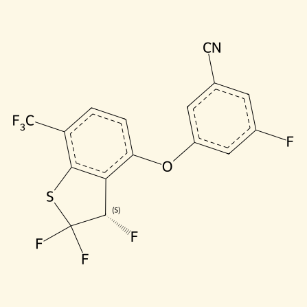 N#Cc1cc(F)cc(Oc2ccc(C(F)(F)F)c3c2[C@H](F)C(F)(F)S3)c1